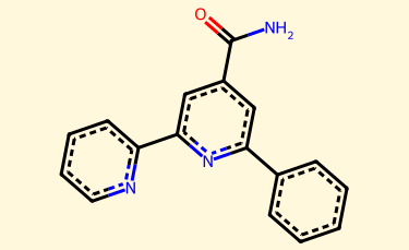 NC(=O)c1cc(-c2ccccc2)nc(-c2ccccn2)c1